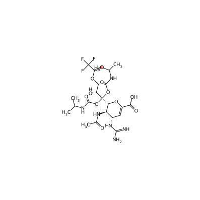 CC(=O)N[C@@H]1[C@@H](NC(=N)N)C=C(C(=O)O)O[C@H]1C(OC(=O)NC(C)C)(OC(=O)NC(C)C)[C@H](O)COC(=O)C(F)(F)F